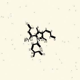 C=C/C=C\c1c(C)c(/C(=C\C=C)C(C)C)n(C(=C)/C=C\C(C)C=C)c1C